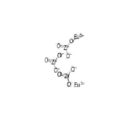 [Eu+3].[Eu+3].[O]=[Zr]([O-])[O-].[O]=[Zr]([O-])[O-].[O]=[Zr]([O-])[O-]